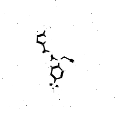 C#CCn1/c(=N/C(=O)c2ccc([N+](=C)[O-])s2)sc2cc(S(N)(=O)=O)ccc21